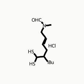 CCC(C)C(CC=CCN(C)C=O)C(S)S.Cl